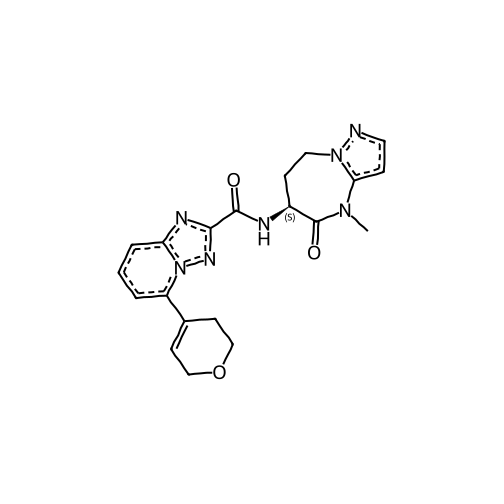 CN1C(=O)[C@@H](NC(=O)c2nc3cccc(C4=CCOCC4)n3n2)CCn2nccc21